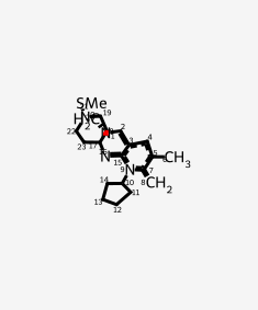 C=N/C=c1/cc(C)c(=C)n(C2CCCC2)/c1=N/C1CCN(SC)CC1